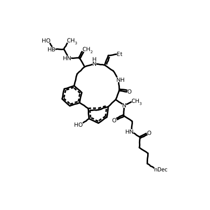 C=C(NC(C)BO)C1Cc2cccc(c2)-c2cc(ccc2O)C(N(C)C(=O)CNC(=O)CCCCCCCCCCCCC)C(=O)NC/C(=C\CC)N1